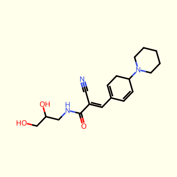 N#C/C(=C\C1=CCC(N2CCCCC2)C=C1)C(=O)NCC(O)CO